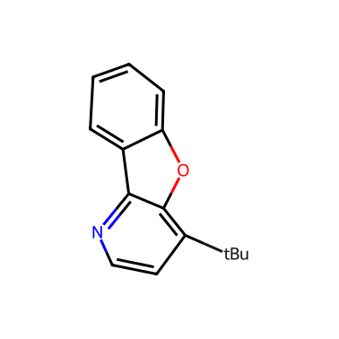 CC(C)(C)c1ccnc2c1oc1ccccc12